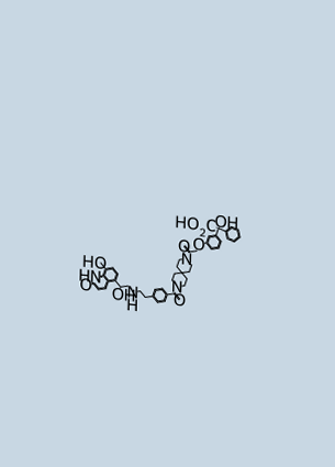 O=C(COc1cccc([C@](O)(C(=O)O)c2ccccc2)c1)N1CCC2(CC1)CCN(C(=O)c1ccc(CCNC[C@H](O)c3ccc(O)c4[nH]c(=O)ccc34)cc1)CC2